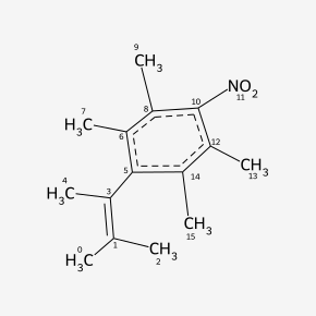 CC(C)=C(C)c1c(C)c(C)c([N+](=O)[O-])c(C)c1C